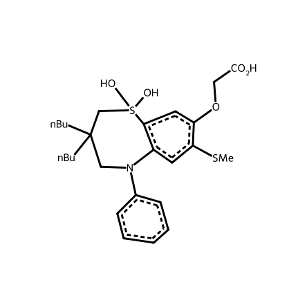 CCCCC1(CCCC)CN(c2ccccc2)c2cc(SC)c(OCC(=O)O)cc2S(O)(O)C1